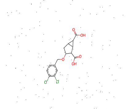 O=C(O)C1C(OCc2ccc(Cl)c(Cl)c2)CC2C(C(=O)O)C21